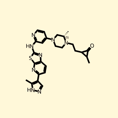 Cc1[nH]ncc1-c1ccc2nc(Nc3cc(N4CCN(CCC5C(=O)C5C)[C@@H](C)C4)ccn3)sc2n1